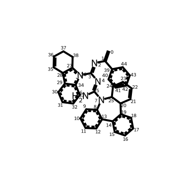 C=C(/N=C(\N=C(/N)N1c2ccccc2-c2ccccc2C2C=CC=CC21)n1c2c(c3ccccc31)C=CCC2)c1ccccc1